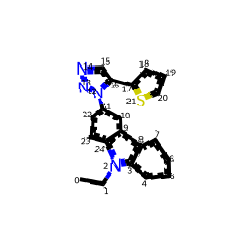 CCn1c2ccccc2c2cc(-n3nncc3-c3cccs3)ccc21